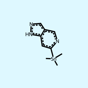 [CH3][Sn]([CH3])([CH3])[c]1cc2[nH]ncc2cn1